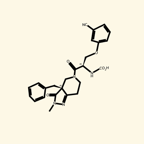 CN1N=C2CCN(C(=O)[C@@H](COc3cccc(C#N)c3)NC(=O)O)C[C@@]2(Cc2ccccc2)C1=O